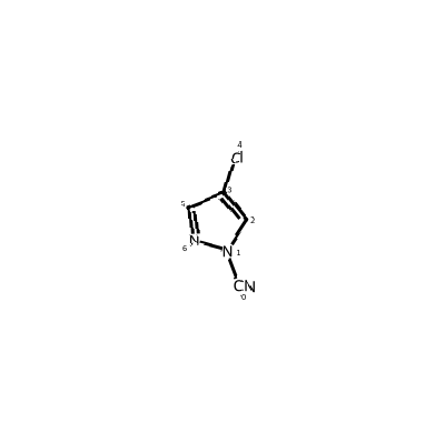 N#Cn1cc(Cl)cn1